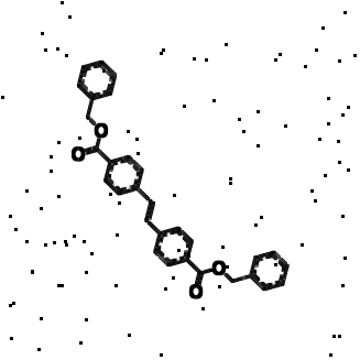 O=C(OCc1ccccc1)c1ccc(C=Cc2ccc(C(=O)OCc3ccccc3)cc2)cc1